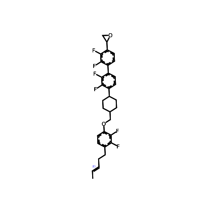 C/C=C/CCc1ccc(OCC2CCC(c3ccc(-c4ccc(C5CO5)c(F)c4F)c(F)c3F)CC2)c(F)c1F